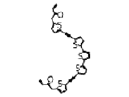 C=CC(=O)Cc1ccc(C#Cc2ccc(-c3ccc(-c4ccc(C#Cc5ccc(CC(=O)C=C)s5)s4)s3)s2)s1